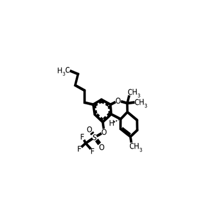 CCCCCc1cc2c(c(OS(=O)(=O)C(F)(F)F)c1)[C@@H]1C=C(C)CCC1C(C)(C)O2